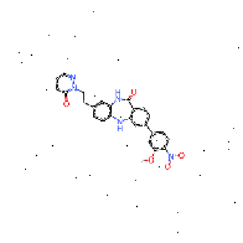 COc1cc(-c2ccc3c(c2)Nc2ccc(CCn4ncccc4=O)cc2NC3=O)ccc1[N+](=O)[O-]